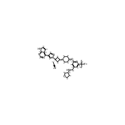 N#CC[C@]1(n2cc(-c3ncnc4[nH]ccc34)cn2)C[C@@H](N2CCC(Oc3cc(CN[C@H]4CCOC4)cc(C(F)(F)F)n3)CC2)C1